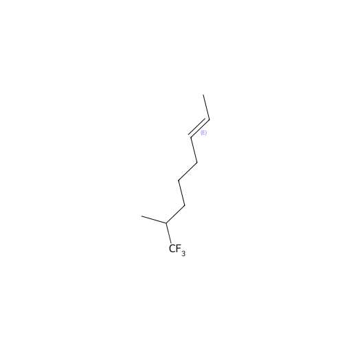 C/C=C/CCCC(C)C(F)(F)F